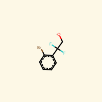 [O]CC(F)(F)c1ccccc1Br